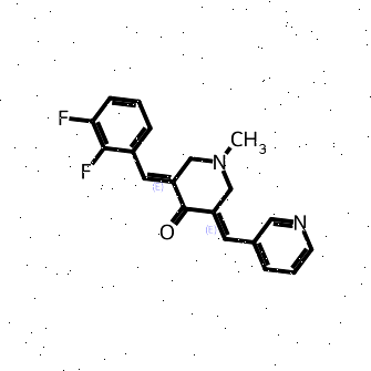 CN1C/C(=C\c2cccnc2)C(=O)/C(=C/c2cccc(F)c2F)C1